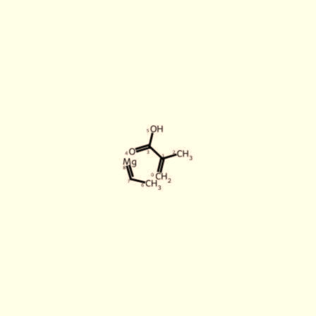 C=C(C)C(=O)O.C[CH]=[Mg]